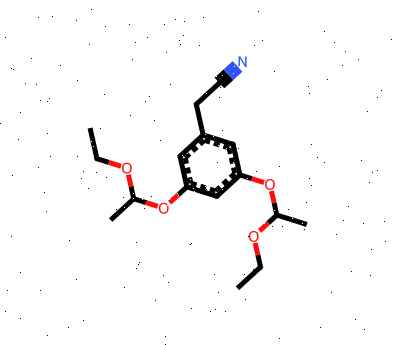 CCOC(C)Oc1cc(CC#N)cc(OC(C)OCC)c1